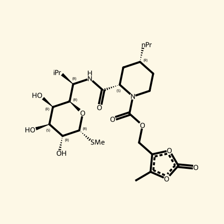 CCC[C@@H]1CCN(C(=O)OCc2oc(=O)oc2C)[C@H](C(=O)N[C@H](C(C)C)[C@H]2O[C@H](SC)[C@H](O)[C@@H](O)[C@H]2O)C1